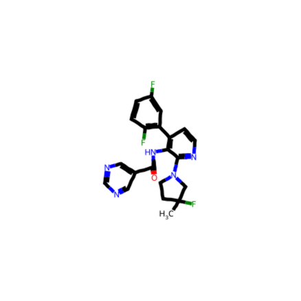 CC1(F)CCN(c2nccc(-c3cc(F)ccc3F)c2NC(=O)c2cncnc2)C1